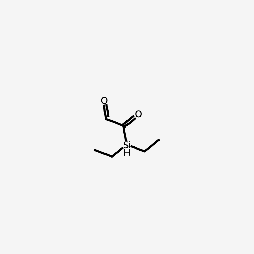 CC[SiH](CC)C(=O)C=O